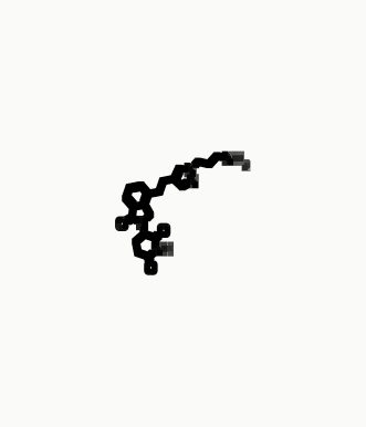 NCCCn1cc(CCc2cccc3c2CN(C2CCC(=O)NC2=O)C3=O)cn1